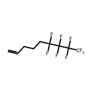 C=CCCCC(F)(F)C(F)(F)C(F)(F)C(F)(F)F